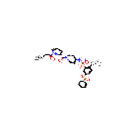 CC(C)(C)CC(=O)N1CCC[C@@H]1C(=O)N1CCC(NS(=O)(=O)c2cc(S(=O)(=O)c3ccccc3)ccc2C(F)(F)F)CC1